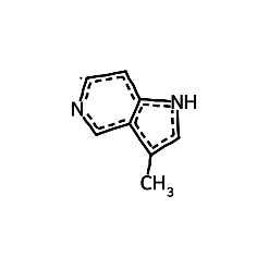 Cc1c[nH]c2c[c]ncc12